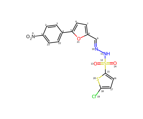 O=[N+]([O-])c1ccc(-c2ccc(C=NNS(=O)(=O)c3ccc(Cl)s3)o2)cc1